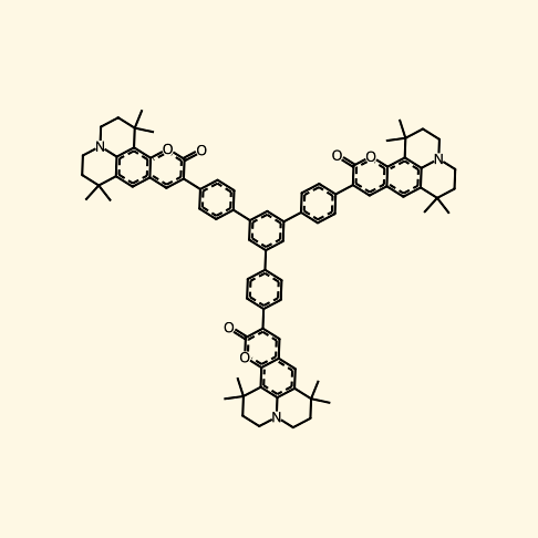 CC1(C)CCN2CCC(C)(C)c3c2c1cc1cc(-c2ccc(-c4cc(-c5ccc(-c6cc7cc8c9c(c7oc6=O)C(C)(C)CCN9CCC8(C)C)cc5)cc(-c5ccc(-c6cc7cc8c9c(c7oc6=O)C(C)(C)CCN9CCC8(C)C)cc5)c4)cc2)c(=O)oc31